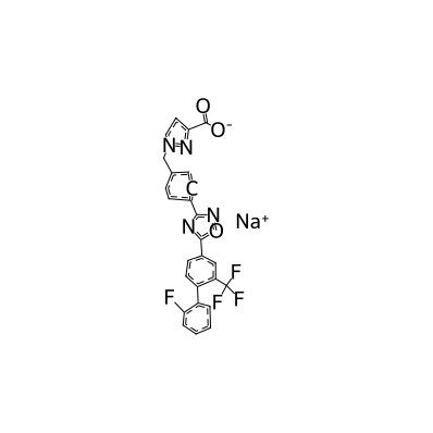 O=C([O-])c1ccn(Cc2ccc(-c3noc(-c4ccc(-c5ccccc5F)c(C(F)(F)F)c4)n3)cc2)n1.[Na+]